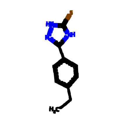 CCc1ccc(-c2n[nH]c(=S)[nH]2)cc1